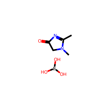 CC1=NC(=O)CN1C.OB(O)O